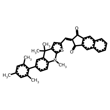 Cc1cc(C)c(-c2ccc3c(c2)C(C)(C)c2cc(C=C4C(=O)c5cc6ccccc6cc5C4=O)sc2N3C)c(C)c1